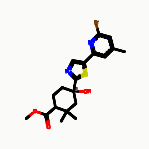 COC(=O)C1CC[C@](O)(c2ncc(-c3cc(C)cc(Br)n3)s2)CC1(C)C